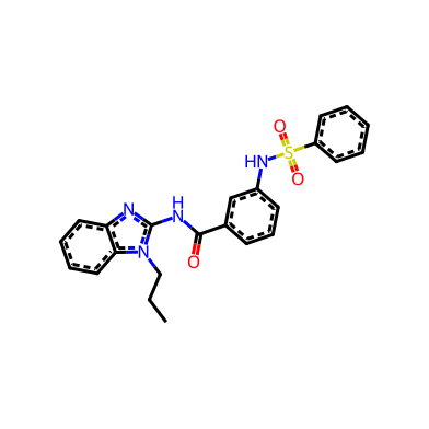 CCCn1c(NC(=O)c2cccc(NS(=O)(=O)c3ccccc3)c2)nc2ccccc21